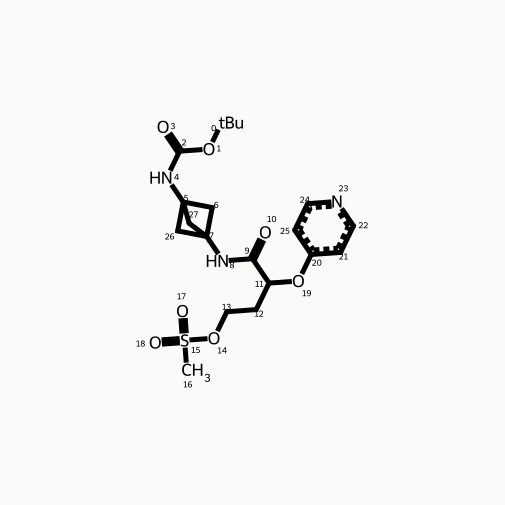 CC(C)(C)OC(=O)NC12CC(NC(=O)C(CCOS(C)(=O)=O)Oc3ccncc3)(C1)C2